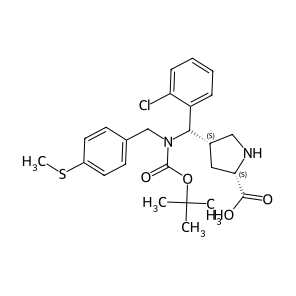 CSc1ccc(CN(C(=O)OC(C)(C)C)C(c2ccccc2Cl)[C@@H]2CN[C@H](C(=O)O)C2)cc1